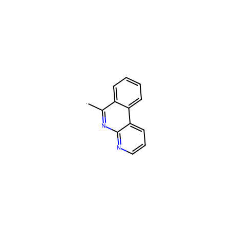 [CH2]c1nc2ncccc2c2ccccc12